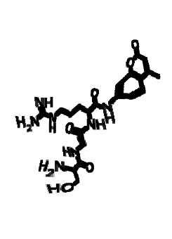 Cc1cc(=O)oc2cc(NC(=O)C(CCCNC(=N)N)NC(=O)CNC(=O)C(N)CO)ccc12